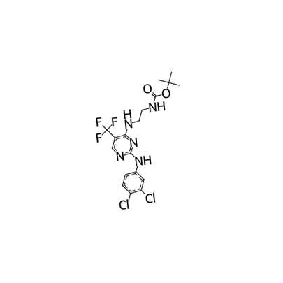 CC(C)(C)OC(=O)NCCNc1nc(Nc2ccc(Cl)c(Cl)c2)ncc1C(F)(F)F